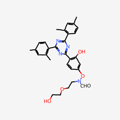 Cc1ccc(-c2nc(-c3ccc(C)cc3C)nc(-c3ccc(ON(C=O)CCOCCO)cc3O)n2)c(C)c1